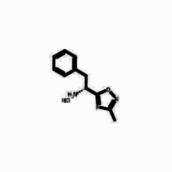 Cc1noc([C@H](N)Cc2ccccc2)n1.Cl